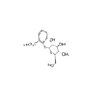 O=C(O)c1ccccc1OC1O[C@H](CO)[C@@H](O)[C@H](O)[C@H]1O